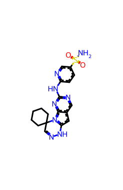 NS(=O)(=O)c1ccc(Nc2ncc3cc4n(c3n2)C2(C=NN4)CCCCC2)nc1